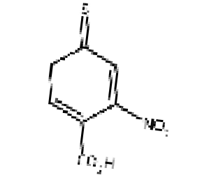 O=C(O)C1=CCC(=S)C=C1[N+](=O)[O-]